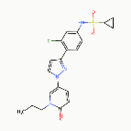 CCCn1cc(-n2ccc(-c3ccc(NS(=O)(=O)C4CC4)cc3Cl)n2)ccc1=O